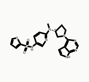 CN(c1ccc(NS(=O)(=O)c2cccs2)cn1)[C@@H]1CCN(c2ncnc3[nH]ccc23)C1